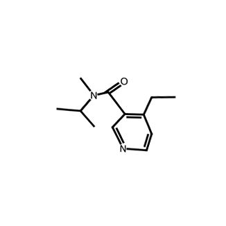 CCc1ccncc1C(=O)N(C)C(C)C